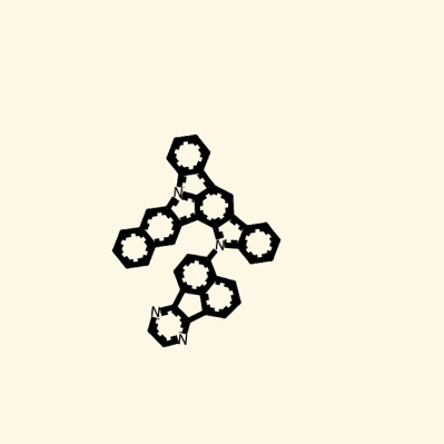 c1ccc2cc3c(cc2c1)c1c2c(cc4c5ccccc5n3c41)c1ccccc1n2-c1ccc2c3c(cccc13)-c1nccnc1-2